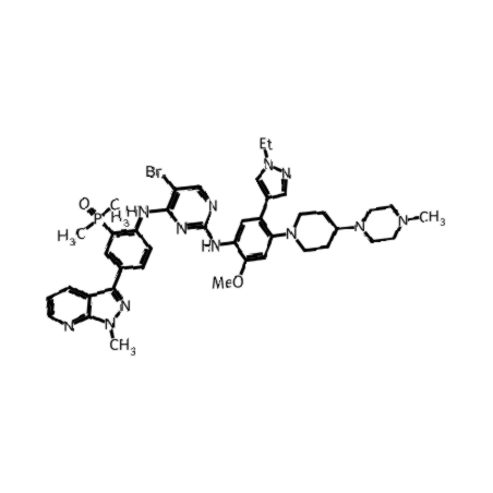 CCn1cc(-c2cc(Nc3ncc(Br)c(Nc4ccc(-c5nn(C)c6ncccc56)cc4P(C)(C)=O)n3)c(OC)cc2N2CCC(N3CCN(C)CC3)CC2)cn1